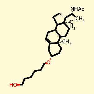 CC(=O)N[C@H](C)[C@H]1CCC2C3CC=C4C[C@@H](OCCCCCCO)CC[C@]4(C)C3CC[C@@]21C